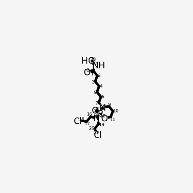 O=C(CCCCCCN1CCCOP1(=O)N(CCCl)CCCl)NO